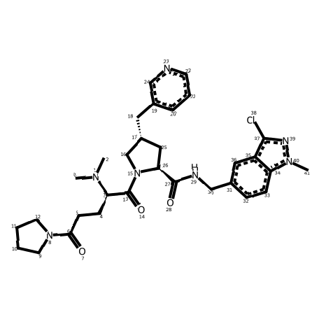 CN(C)[C@H](CCC(=O)N1CCCC1)C(=O)N1C[C@H](Cc2cccnc2)C[C@H]1C(=O)NCc1ccc2c(c1)c(Cl)nn2C